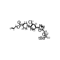 C=CCOC(=O)C1=CCN(c2ncc(-c3nnc(CO[Si](C)(C)C(C)(C)C)o3)cc2Cl)CC1